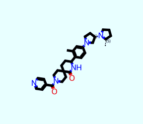 Cc1cc(N2CC[C@H](N3CCC[C@@H]3C)C2)ccc1C1CCC2(CCN(C(=O)c3ccncc3)CC2)C(=O)N1